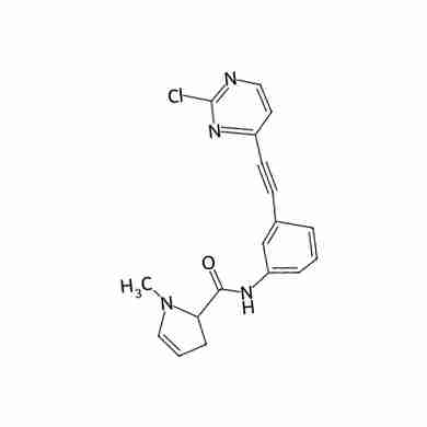 CN1C=CCC1C(=O)Nc1cccc(C#Cc2ccnc(Cl)n2)c1